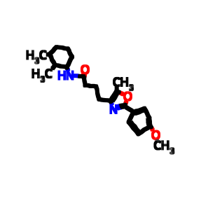 COc1ccc(-c2nc(CCCC(=O)NC3CCCC(C)C3C)c(C)o2)cc1